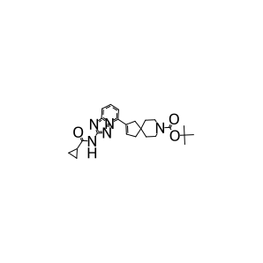 CC(C)(C)OC(=O)N1CCC2(CC=C(c3cccc4nc(NC(=O)C5CC5)nn34)C2)CC1